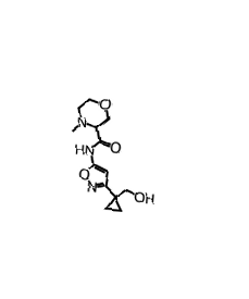 CN1CCOCC1C(=O)Nc1cc(C2(CO)CC2)no1